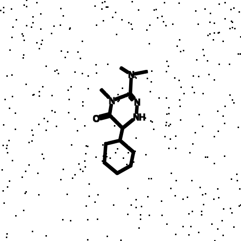 CN(C)C1=NNC(C2CCCCC2)C(=O)N1C